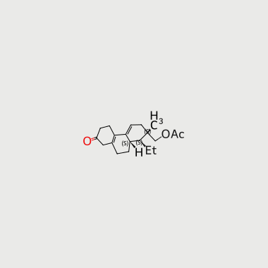 CC[C@H]1[C@@H]2CCC3=C(CCC(=O)C3)C2=CC[C@]1(C)COC(C)=O